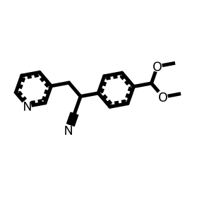 COC(OC)c1ccc(C(C#N)Cc2cccnc2)cc1